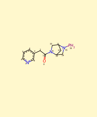 O=C(Cc1cccnc1)N1CC2CC1CN2P